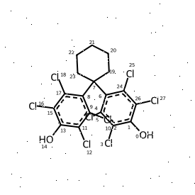 Oc1c(Cl)c(Cl)c(C2(c3c(Cl)c(Cl)c(O)c(Cl)c3Cl)CCCCC2)c(Cl)c1Cl